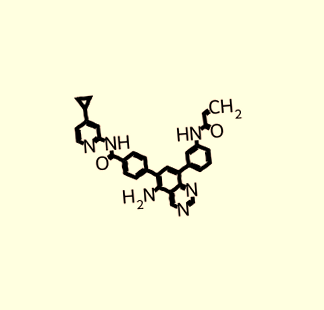 C=CC(=O)Nc1cccc(-c2cc(-c3ccc(C(=O)Nc4cc(C5CC5)ccn4)cc3)c(N)c3cncnc23)c1